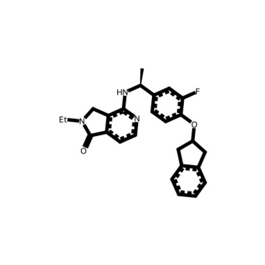 CCN1Cc2c(ccnc2N[C@@H](C)c2ccc(OC3Cc4ccccc4C3)c(F)c2)C1=O